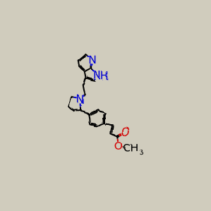 COC(=O)C=Cc1ccc(C2CCCN2CCc2c[nH]c3ncccc23)cc1